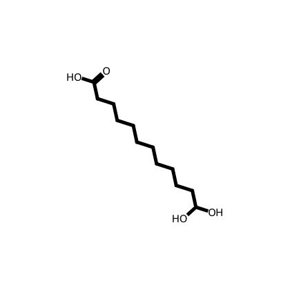 O=C(O)CCCCCCCCCCC(O)O